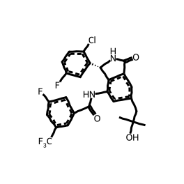 CC(C)(O)Cc1cc(NC(=O)c2cc(F)cc(C(F)(F)F)c2)c2c(c1)C(=O)N[C@H]2c1cc(F)ccc1Cl